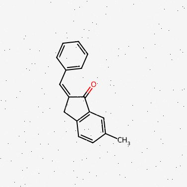 Cc1ccc2c(c1)C(=O)C(=Cc1ccccc1)C2